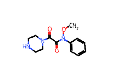 CON(C(=O)C(=O)N1CCNCC1)c1ccccc1